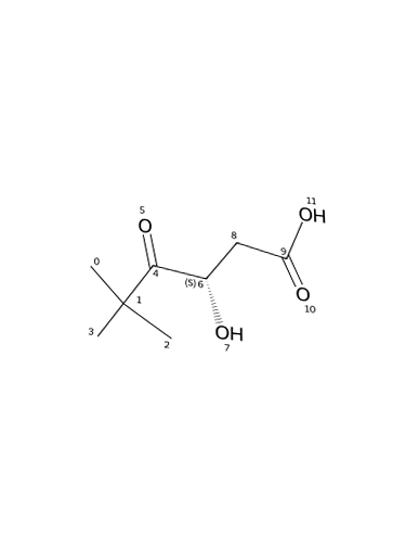 CC(C)(C)C(=O)[C@@H](O)CC(=O)O